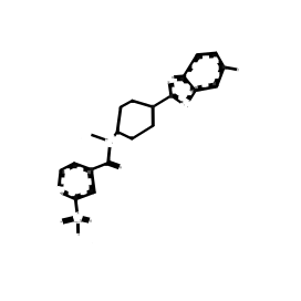 CN(C(=O)c1ccnc(S(C)(=O)=O)c1)C1CCC(c2nc3cc(Cl)ccc3o2)CC1